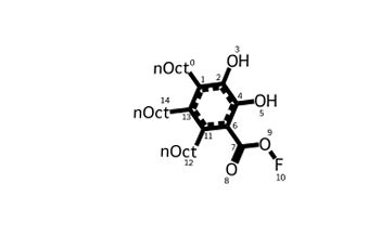 CCCCCCCCc1c(O)c(O)c(C(=O)OF)c(CCCCCCCC)c1CCCCCCCC